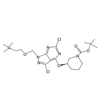 CC(C)(C)OC(=O)N1CCC[C@@H](Oc2nc(Cl)nc3c2c(Cl)nn3COCC[Si](C)(C)C)C1